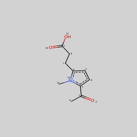 CC(=O)c1ccc(CCC(=O)O)n1C